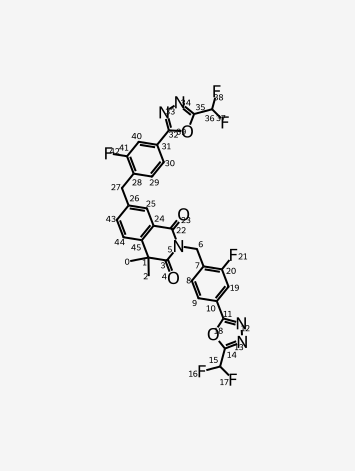 CC1(C)C(=O)N(Cc2ccc(-c3nnc(C(F)F)o3)cc2F)C(=O)c2cc(Cc3ccc(-c4nnc(C(F)F)o4)cc3F)ccc21